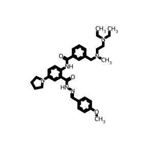 CCN(CC)CCN(C)Cc1cccc(C(=O)Nc2ccc(N3CCCC3)cc2C(=O)NN=Cc2ccc(OC)cc2)c1